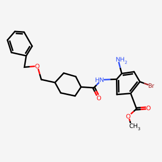 COC(=O)c1cc(NC(=O)C2CCC(COCc3ccccc3)CC2)c(N)cc1Br